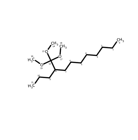 CCCCCCCCC(CCC)C(OC)(OC)OC